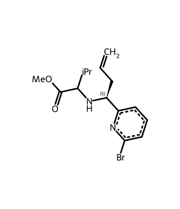 C=CC[C@H](NC(C(=O)OC)C(C)C)c1cccc(Br)n1